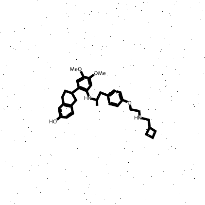 COc1cc(NC(C)Cc2ccc(OCCNCC3CCC3)cc2)c(C2CCc3cc(O)ccc3C2)cc1OC